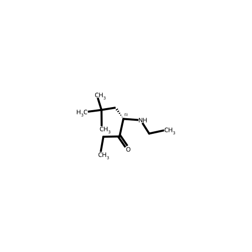 CCN[C@@H](CC(C)(C)C)C(=O)CC